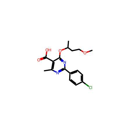 COCCC(C)Oc1nc(-c2ccc(Cl)cc2)nc(C)c1C(=O)O